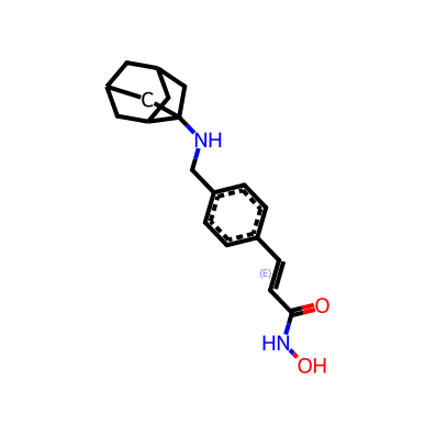 O=C(/C=C/c1ccc(CNC23CC4CC(CC2C4)C3)cc1)NO